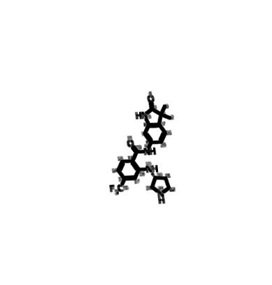 CC1(C)C(=O)Nc2cc(NC(=O)c3ccc(C(F)(F)F)cc3N[C@@H]3CCNC3)ccc21